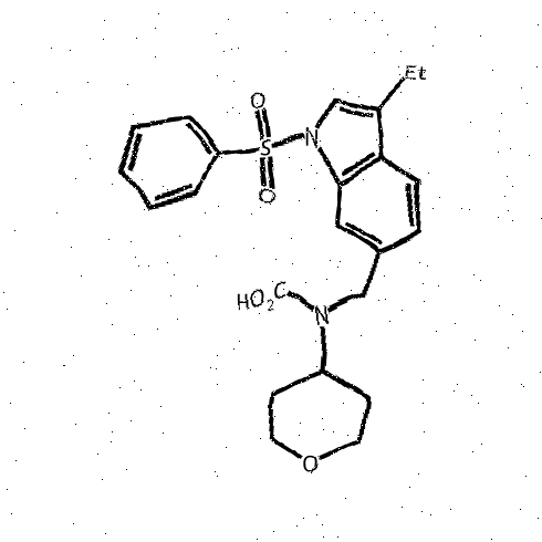 CCc1cn(S(=O)(=O)c2ccccc2)c2cc(CN(C(=O)O)C3CCOCC3)ccc12